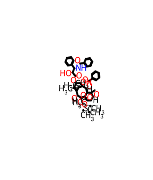 CC[Si](CC)(CC)OC1C[C@H]2OC[C@@]2(OC(C)=O)[C@H]2[C@H](OC(=O)c3ccccc3)[C@]3(O)C[C@H](OC(=O)[C@H](O)[C@@H](NC(=O)c4ccccc4)c4ccccc4)C(C)=C(C(=O)C(=O)[C@]12C)C3(C)C